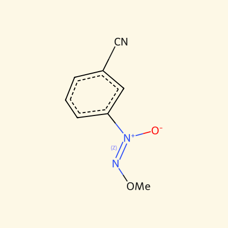 CO/N=[N+](\[O-])c1cccc(C#N)c1